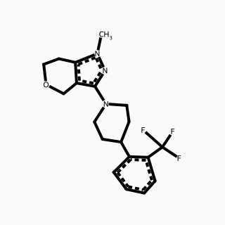 Cn1nc(N2CCC(c3ccccc3C(F)(F)F)CC2)c2c1CCOC2